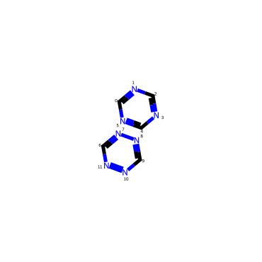 c1ncncn1.c1nncnn1